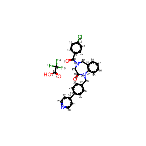 O=C(O)C(F)(F)F.O=C(c1ccc(Cl)cc1)N1CC(=O)N(Cc2ccc(-c3ccncc3)cc2)c2ccccc2C1